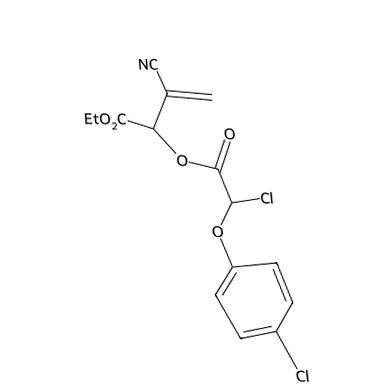 C=C(C#N)C(OC(=O)C(Cl)Oc1ccc(Cl)cc1)C(=O)OCC